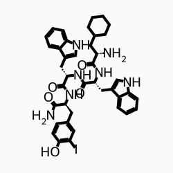 NC(=O)[C@H](Cc1ccc(O)c(I)c1)NC(=O)[C@H](Cc1c[nH]c2ccccc12)NC(=O)[C@@H](Cc1c[nH]c2ccccc12)NC(=O)[C@@H](N)CC1CCCCC1